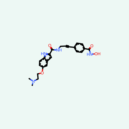 CN(C)CCOc1ccc2[nH]c(C(=O)NCC#Cc3ccc(C(=O)NO)cc3)cc2c1